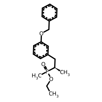 CCOP(C)(=O)[C@H](C)Cc1cccc(OCc2ccccc2)c1